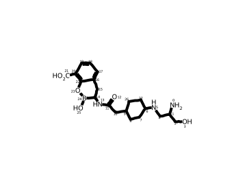 NC(CO)CNC1CCC(CC(=O)NC2Cc3cccc(C(=O)O)c3OB2O)CC1